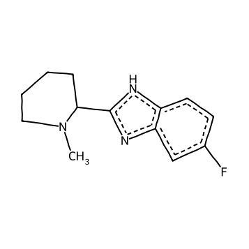 CN1CCCCC1c1nc2cc(F)ccc2[nH]1